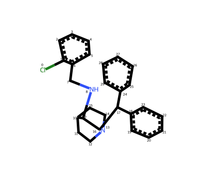 Clc1ccccc1CNC1C2CCN(CC2)C1C(c1ccccc1)c1ccccc1